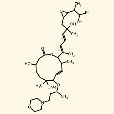 CCC(O)C(C)C1OC1CC(C)(O)/C=C/C=C(\C)C1OC(=O)CC(O)CCC(C)(OC)C(ON(C)CCN2CCOCC2)/C=C/C1C